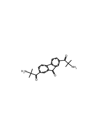 CC(C)(N)C(=O)c1ccc2c(c1)C(=O)c1cc(C(=O)C(C)(C)N)ccc1-2